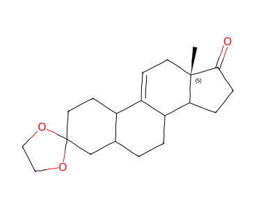 C[C@]12CC=C3C4CCC5(CC4CCC3C1CCC2=O)OCCO5